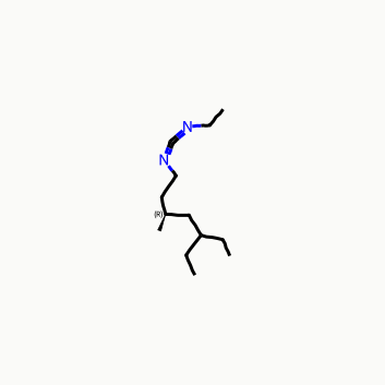 CCN=C=NCC[C@H](C)CC(CC)CC